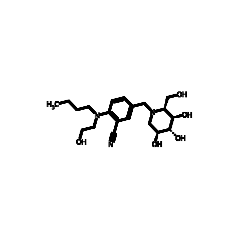 CCCCN(CCO)c1ccc(CN2C[C@H](O)[C@@H](O)[C@H](O)[C@@H]2CO)cc1C#N